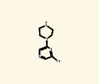 CCc1cncc(N2CCNCC2)n1